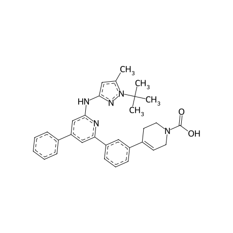 Cc1cc(Nc2cc(-c3ccccc3)cc(-c3cccc(C4=CCN(C(=O)O)CC4)c3)n2)nn1C(C)(C)C